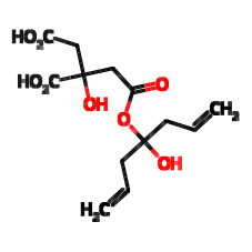 C=CCC(O)(CC=C)OC(=O)CC(O)(CC(=O)O)C(=O)O